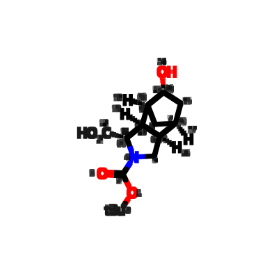 CC(C)(C)OC(=O)N1C[C@@H]2[C@H]3C[C@@H]([C@@H]2[C@H]1C(=O)O)[C@H](O)C3